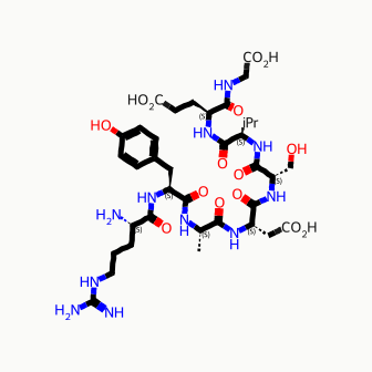 CC(C)[C@H](NC(=O)[C@H](CO)NC(=O)[C@H](CC(=O)O)NC(=O)[C@H](C)NC(=O)[C@H](Cc1ccc(O)cc1)NC(=O)[C@@H](N)CCCNC(=N)N)C(=O)N[C@@H](CCC(=O)O)C(=O)NCC(=O)O